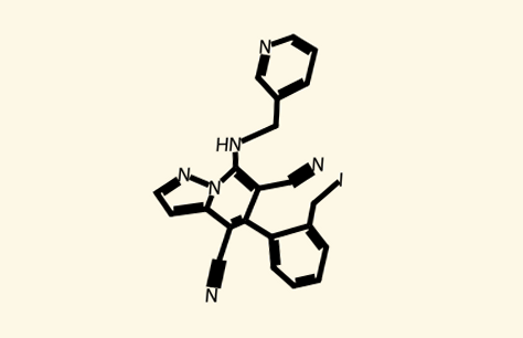 N#Cc1c(-c2ccccc2CI)c(C#N)c2ccnn2c1NCc1cccnc1